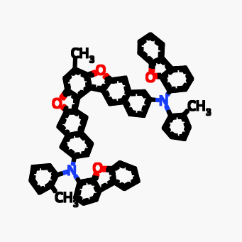 Cc1ccccc1N(c1ccc2cc3c(cc2c1)oc1cc(C)c2oc4cc5cc(N(c6ccccc6C)c6cccc7c6oc6ccccc67)ccc5cc4c2c13)c1cccc2c1oc1ccccc12